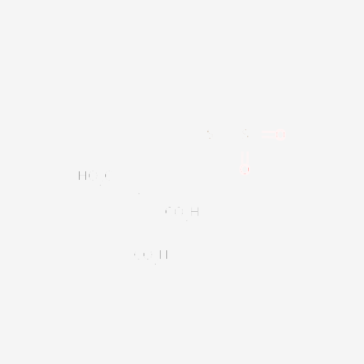 CS(=O)(=O)SCCC(CC(=O)O)(C(=O)O)C(=O)O